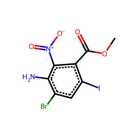 COC(=O)c1c(I)cc(Br)c(N)c1[N+](=O)[O-]